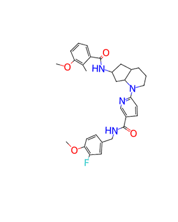 COc1ccc(CNC(=O)c2ccc(N3CCCC4CC(NC(=O)c5cccc(OC)c5C)CC43)nc2)cc1F